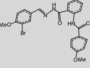 COc1ccc(C(=O)Nc2ccccc2C(=O)NN=Cc2ccc(OC)c(Br)c2)cc1